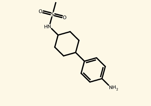 CS(=O)(=O)NC1CCC(c2ccc(N)cc2)CC1